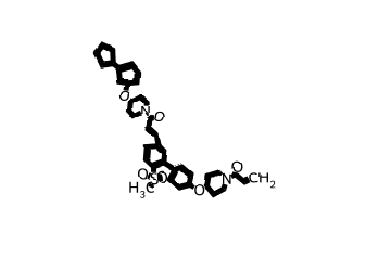 C=CC(=O)N1CCC(Oc2ccc(-c3cc(/C=C/C(=O)N4CCC(Oc5cccc(C6CCCC6)c5)CC4)ccc3S(C)(=O)=O)cc2)CC1